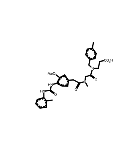 COc1cc(CC(=O)N(C)CC(=O)N(CCC(=O)O)Cc2ccc(C)cc2)ccc1NC(=O)Nc1ccccc1C